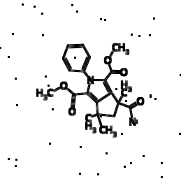 COC(=O)c1c2c(c(C(=O)OC)n1-c1ccccc1)C(C)(C([N])=O)CC2(C)C